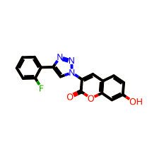 O=c1oc2cc(O)ccc2cc1-n1cc(-c2ccccc2F)nn1